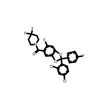 O=C(c1cc2c(cc1F)OC(c1ccc(F)cc1)(c1ccc(Cl)cc1Cl)O2)N1CCC(F)(F)CC1